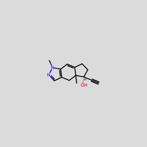 C#C[C@]1(O)CCC2=Cc3c(cnn3C)CC21C